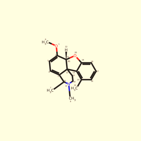 COC1=CC=C2C(C)N(C)CCC23c2c(C)cccc2O[C@@H]13